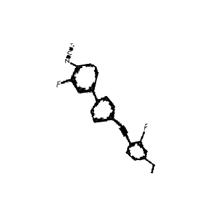 CCc1ccc(C#Cc2ccc(-c3ccc(N=C=S)c(F)c3)cc2)c(F)c1